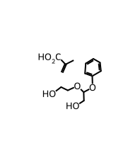 C=C(C)C(=O)O.OCCOC(CO)Oc1ccccc1